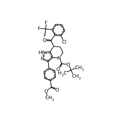 COC(=O)c1ccc(-c2n[nH]c3c2N(C(=O)OC(C)(C)C)CCC3C(=O)c2c(Cl)cccc2C(F)(F)F)cc1